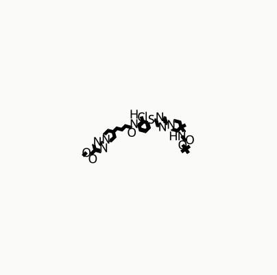 COC(=O)c1cnc(N2CCC(CCCC(=O)Nc3cccc(Sc4cnc(N5CCC(C)(CNC(=O)OC(C)(C)C)CC5)cn4)c3Cl)CC2)nc1